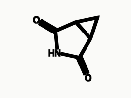 O=C1NC(=O)C2CC12